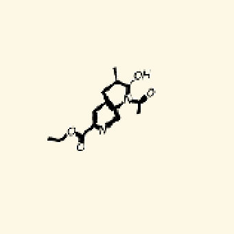 CCOC(=O)c1cc2c(cn1)N(C(C)=O)[C@@H](O)[C@H](C)C2